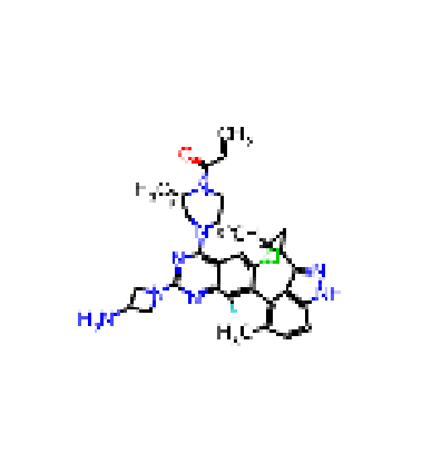 C=CC(=O)N1C[C@H](C)N(c2nc(N3CC(N)C3)nc3c(F)c(-c4c(C)ccc5[nH]nc(C6CC6)c45)c(Cl)cc23)C[C@H]1C